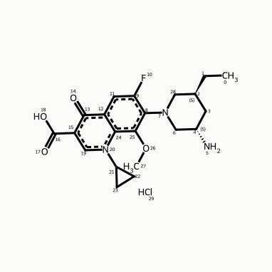 CC[C@H]1C[C@H](N)CN(c2c(F)cc3c(=O)c(C(=O)O)cn(C4CC4)c3c2OC)C1.Cl